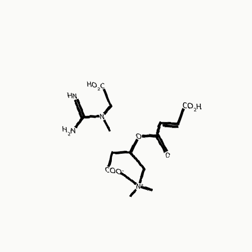 CN(CC(=O)O)C(=N)N.C[N+](C)(C)CC(CC(=O)[O-])OC(=O)/C=C/C(=O)O